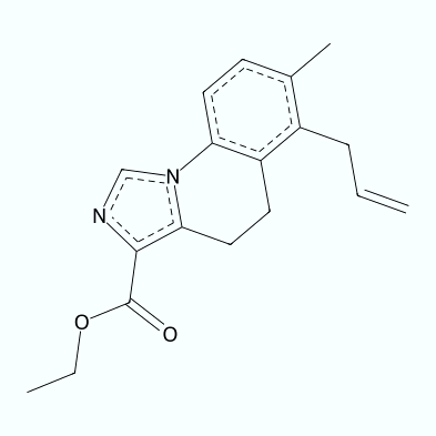 C=CCc1c(C)ccc2c1CCc1c(C(=O)OCC)ncn1-2